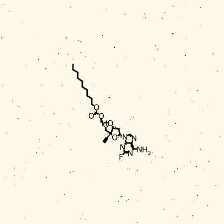 C#C[C@]1(COCOC(=O)OCCCCCCCCCC)O[C@@H](n2cnc3c(N)nc(F)nc32)C[C@@H]1O